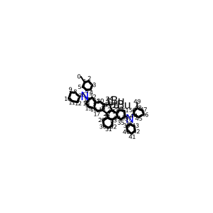 Cc1cccc(N(c2ccccc2)c2ccc3cc4c(cc3c2)C(C(C)(C)C)(C(C)(C)C)c2c-4c3ccccc3c3cc(N(c4ccccc4)c4cccc(C)c4)ccc23)c1